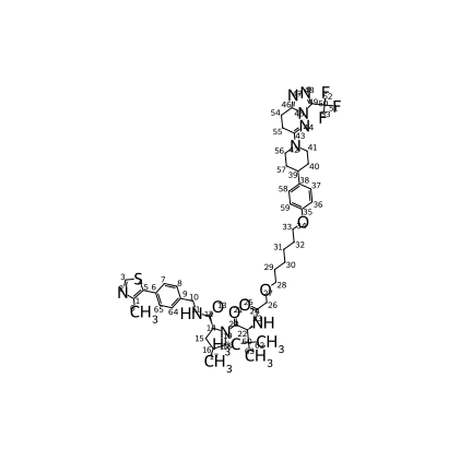 Cc1ncsc1-c1ccc(CNC(=O)[C@@H]2CC(C)CN2C(=O)[C@@H](NC(=O)COCCCCCCOc2ccc(C3CCN(C4=Nn5c(nnc5C(F)(F)F)CC4)CC3)cc2)C(C)(C)C)cc1